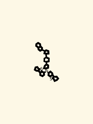 C1=C(c2ccc(N(c3ccc4c(c3)sc3ccccc34)c3cccc4c3sc3ccccc34)cc2)CCC(c2cccc(-c3ccc4ccccc4c3)c2)=C1